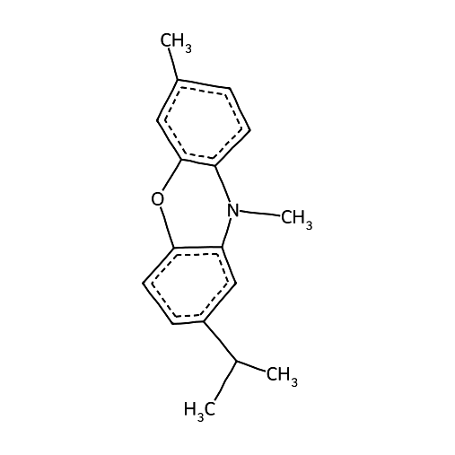 Cc1ccc2c(c1)Oc1ccc(C(C)C)cc1N2C